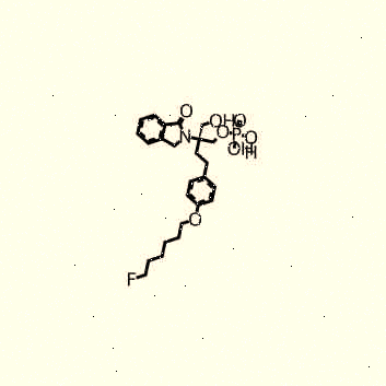 O=C1c2ccccc2CN1[C@@](CO)(CCc1ccc(OCCCCCCF)cc1)COP(=O)(O)O